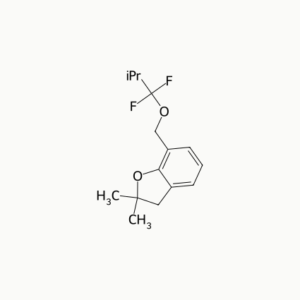 CC(C)C(F)(F)OCc1cccc2c1OC(C)(C)C2